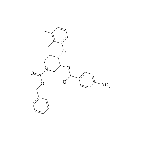 Cc1cccc(OC2CCN(C(=O)OCc3ccccc3)CC2OC(=O)c2ccc([N+](=O)[O-])cc2)c1C